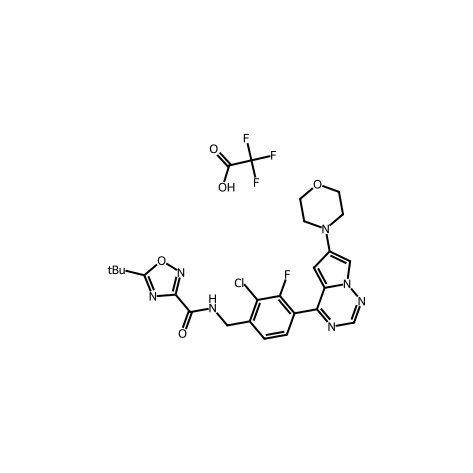 CC(C)(C)c1nc(C(=O)NCc2ccc(-c3ncnn4cc(N5CCOCC5)cc34)c(F)c2Cl)no1.O=C(O)C(F)(F)F